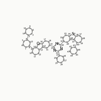 c1ccc(-c2cccc(-c3cccc4c3oc3ccc(-c5nc(-c6ccccc6)nc(-c6ccc7sc8cccc(-c9ccccc9)c8c7c6)n5)cc34)c2)cc1